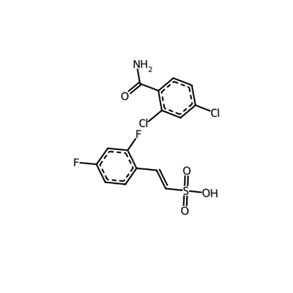 NC(=O)c1ccc(Cl)cc1Cl.O=S(=O)(O)/C=C/c1ccc(F)cc1F